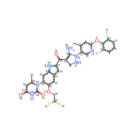 Cc1cc(Oc2c(F)cccc2F)ncc1N1NCC(C(=O)c2cc3cc(OCC(F)F)c(-n4c(C)cc(=O)[nH]c4=O)cc3[nH]2)=C1N